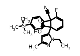 CCn1nc(C)cc1C1(C(=O)O)C=CC=C(F)C1(C#N)c1ccc([Si](C)(C)C)cc1